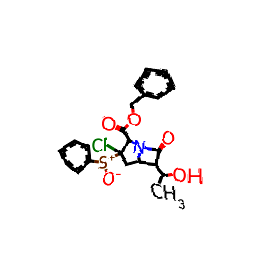 CC(O)C1C(=O)N2C1CC(Cl)([S+]([O-])c1ccccc1)C2C(=O)OCc1ccccc1